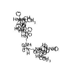 CC[C@H](NC)C(=O)N[C@@H]1C(=O)N2[C@@H](CC[C@@H]1CNC(=O)CCCNc1c(NCCCCNC(=O)[C@@H](NC(=O)[C@@H]3CC[C@@H]4CC[C@H](CCNCc5ccccc5)[C@H](NC(=O)[C@H](CC)NC)C(=O)N43)c3ccccc3)c(=O)c1=O)CC[C@H]2C(=O)NCc1ccccc1